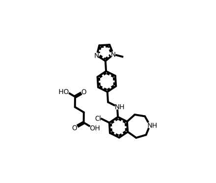 Cn1ccnc1-c1ccc(CNc2c(Cl)ccc3c2CCNCC3)cc1.O=C(O)CCC(=O)O